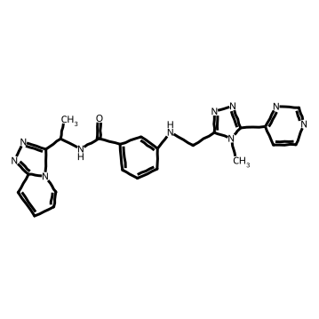 CC(NC(=O)c1cccc(NCc2nnc(-c3ccncn3)n2C)c1)c1nnc2ccccn12